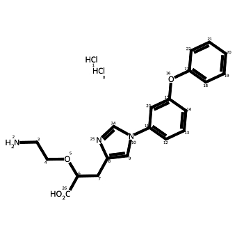 Cl.Cl.NCCOC(Cc1cn(-c2cccc(Oc3ccccc3)c2)cn1)C(=O)O